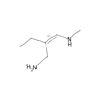 CC/C(=C/NC)CN